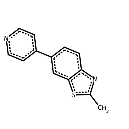 Cc1nc2ccc(-c3ccncc3)cc2s1